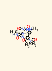 CCN(c1cc(-c2ccc3c(c2)n(C2CN(C4COC4)C2)c(=O)n3C)cc(C(=O)NCc2c(C)cc(C)[nH]c2=O)c1C)C1CCOCC1